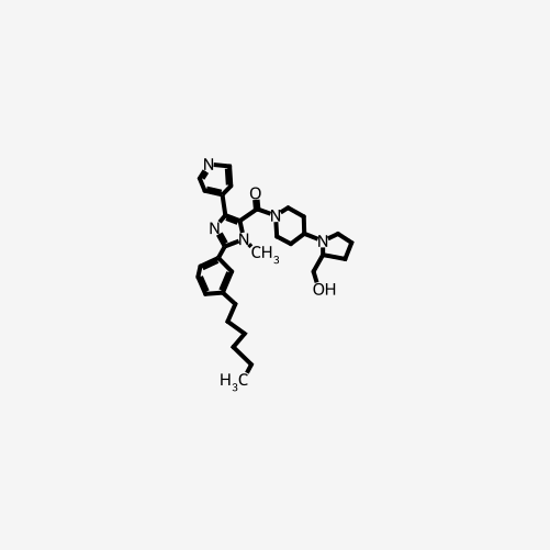 CCCCCCc1cccc(-c2nc(-c3ccncc3)c(C(=O)N3CCC(N4CCCC4CO)CC3)n2C)c1